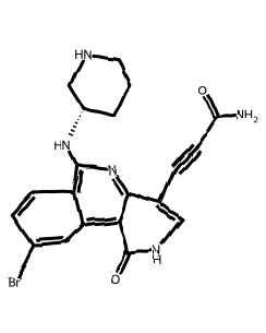 NC(=O)C#Cc1c[nH]c(=O)c2c1nc(N[C@H]1CCCNC1)c1ccc(Br)cc12